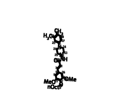 CCCCCCCCOc1c(OC)cc(C=CC(=O)NN2CCN(c3ccc(C)c(C)c3)CC2)cc1OC